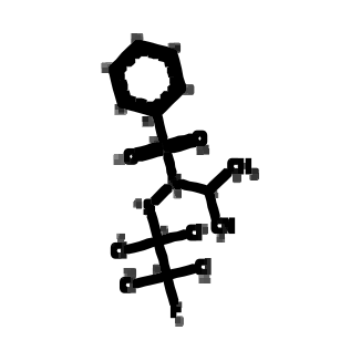 CC(C#N)N(SC(Cl)(Cl)C(F)(Cl)Cl)S(=O)(=O)c1ccccc1